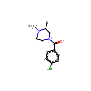 C[C@H]1CN(C(=O)c2ccc(Br)cc2)CCN1C(=O)O